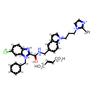 CC(C)c1nccn1CCCn1ccc2cc(CNC(=O)c3nc4ccc(Cl)cc4n3Cc3ccccc3)ccc21.O=C(O)/C=C/C(=O)O